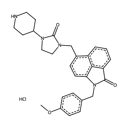 COc1ccc(CN2C(=O)c3cccc4c(CN5CCN(C6CCNCC6)C5=O)ccc2c34)cc1.Cl